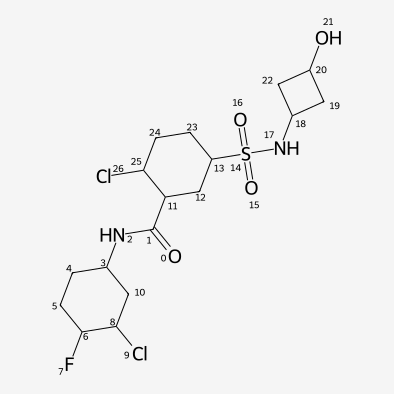 O=C(NC1CCC(F)C(Cl)C1)C1CC(S(=O)(=O)NC2CC(O)C2)CCC1Cl